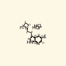 C[C@H]1CCN1CCc1c[nH]c2ncc(F)cc12.Cl.Cl